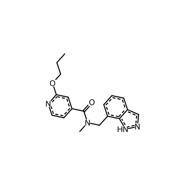 CCCOc1cc(C(=O)N(C)Cc2cccc3cn[nH]c23)ccn1